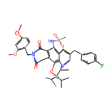 COc1ccc(CN2C(=O)c3c(c(O[Si](C(C)C)(C(C)C)C(C)C)c4ncc(Cc5ccc(F)cc5)cc4c3NS(C)(=O)=O)C2=O)c(OC)c1